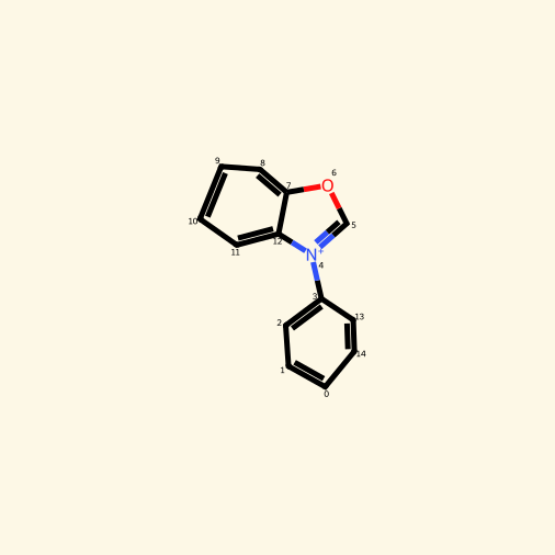 c1ccc(-[n+]2coc3ccccc32)cc1